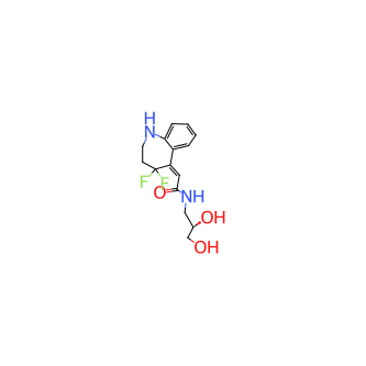 O=C(/C=C1/c2ccccc2NCCC1(F)F)NC[C@@H](O)CO